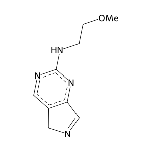 COCCNc1ncc2c(n1)C=NC2